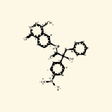 Cc1noc(=O)c2ccc(NC(=O)C(O)(Cc3ccccc3)c3ccc(N(C)C)cc3)cc12